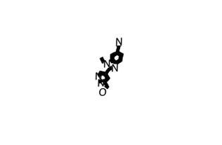 CCn1c(-c2cnnc(C=O)c2)nc2ccc(C#N)cc21